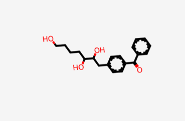 O=C(c1ccccc1)c1ccc(CC(O)C(O)CCCCO)cc1